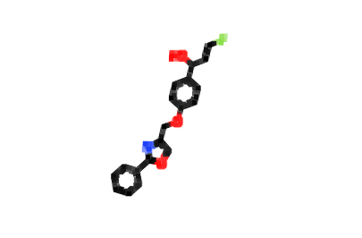 OC(C=CF)c1ccc(OCc2coc(-c3ccccc3)n2)cc1